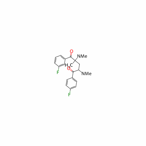 CNC(CC(C)(NC)C(=O)c1cccc(F)c1)C(=O)c1ccc(F)cc1